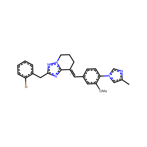 COc1cc(/C=C2\CCCn3nc(Cc4ccccc4Br)nc32)ccc1-n1cnc(C)c1